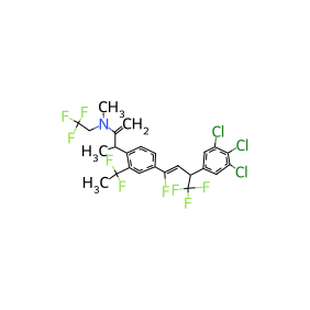 C=C(C(C)c1ccc(/C(F)=C/C(c2cc(Cl)c(Cl)c(Cl)c2)C(F)(F)F)cc1C(C)(F)F)N(C)CC(F)(F)F